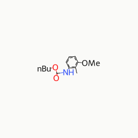 CCCCOC(=O)Nc1cccc(OC)c1C